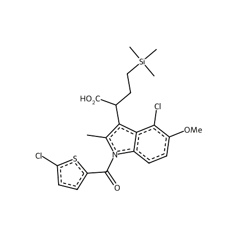 COc1ccc2c(c1Cl)c(C(CC[Si](C)(C)C)C(=O)O)c(C)n2C(=O)c1ccc(Cl)s1